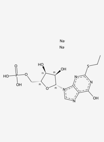 CCSc1nc(O)c2ncn([C@@H]3O[C@H](COP(=O)(O)O)[C@@H](O)[C@H]3O)c2n1.[Na].[Na]